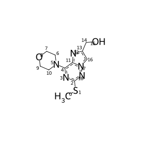 CSc1nc(N2CCOCC2)c2nc(CO)cn2n1